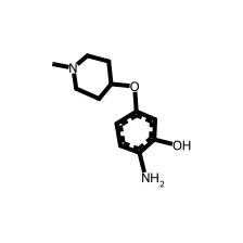 CN1CCC(Oc2ccc(N)c(O)c2)CC1